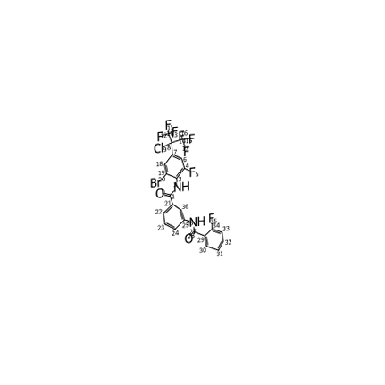 O=C(Nc1c(F)cc(C(Cl)(C(F)(F)F)C(F)(F)F)cc1Br)c1cccc(NC(=O)c2ccccc2F)c1